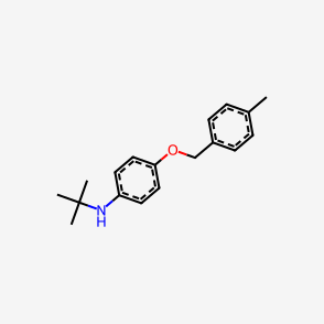 Cc1ccc(COc2ccc(NC(C)(C)C)cc2)cc1